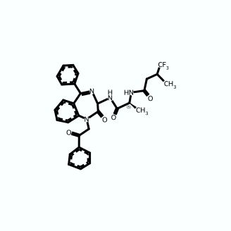 CC(CC(=O)N[C@@H](C)C(=O)NC1N=C(c2ccccc2)c2ccccc2N(CC(=O)c2ccccc2)C1=O)C(F)(F)F